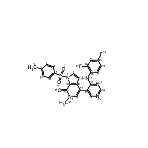 Cc1ccc(S(=O)(=O)n2ccc3c(-c4cncnc4Nc4ccc(F)cc4F)cn(C)c(=O)c32)cc1